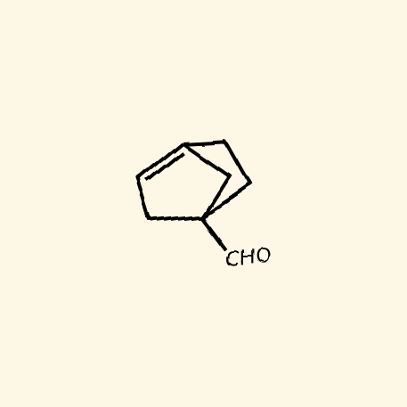 O=CC12CC=C(CC1)C2